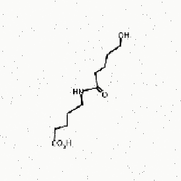 O=C(O)CCCCNC(=O)CCCCO